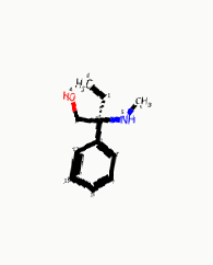 CC[C@](CO)(NC)c1ccccc1